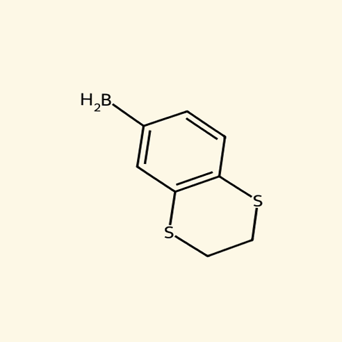 Bc1ccc2c(c1)SCCS2